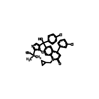 Cn1c(C(O)(c2ccc(Cl)cc2)c2ccc3c(c2)c(-c2cccc(Cl)c2)cc(=O)n3CC2CC2)cnc1[Si](C)(C)C(C)(C)C